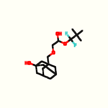 CC(C)(C)C(F)(F)OC(O)COCC12CC3CC(CC(O)(C3)C1)C2